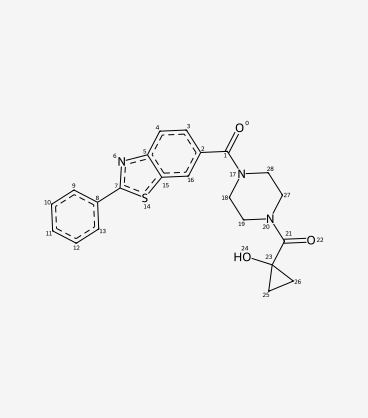 O=C(c1ccc2nc(-c3ccccc3)sc2c1)N1CCN(C(=O)C2(O)CC2)CC1